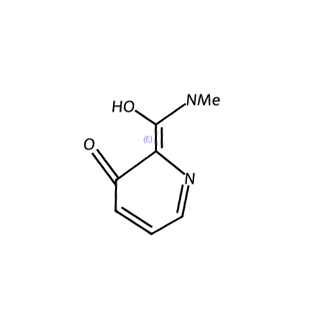 CN/C(O)=C1\N=CC=CC1=O